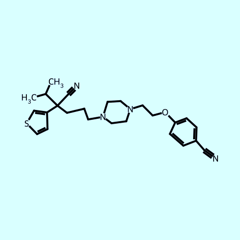 CC(C)C(C#N)(CCCN1CCN(CCOc2ccc(C#N)cc2)CC1)c1ccsc1